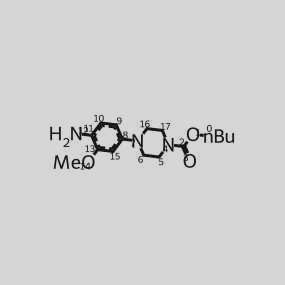 CCCCOC(=O)N1CCN(c2ccc(N)c(OC)c2)CC1